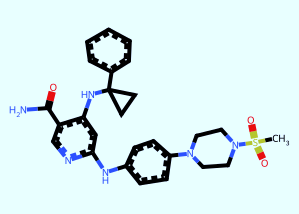 CS(=O)(=O)N1CCN(c2ccc(Nc3cc(NC4(c5ccccc5)CC4)c(C(N)=O)cn3)cc2)CC1